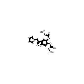 CC(C)(C)OC(=O)Oc1cc2onc(CN3CCCC3)c2cc1OC(=O)OC(C)(C)C